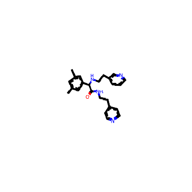 Cc1cc(C)cc(C(NCCc2cccnc2)C(=O)NCCc2ccncc2)c1